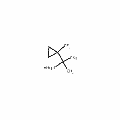 CCCCCCCC(C)(CCCC)C1(C(F)(F)F)CC1